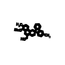 COc1c(C)ccc2c3c(c(CO)cc12)C=CC(c1ccccc1)(c1ccc(C)cc1)C3